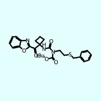 CC(C)(C)OC(=O)N(CCSCc1ccccc1)C(=O)NC1(C(=O)c2nc3ccccc3o2)CCC1